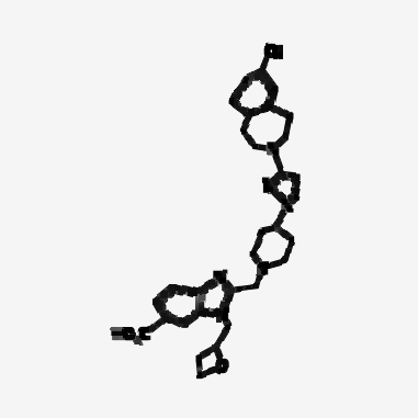 N#Cc1ccc2c(c1)CCN(c1ccn(C3CCN(Cc4nc5ccc(C(=O)O)cc5n4CC4CCO4)CC3)n1)CC2